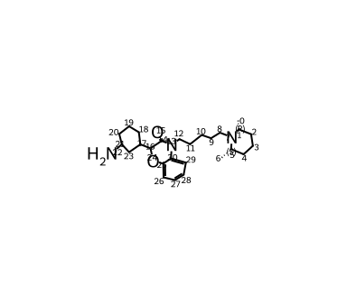 C[C@@H]1CCC[C@H](C)N1CCCCCN1C(=O)C(C2CCCC(N)C2)Oc2ccccc21